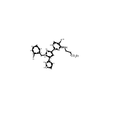 CCOC(=O)CCNc1nc(-c2cc(-c3ccon3)n(Cc3ccccc3F)n2)ncc1F